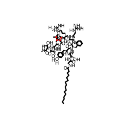 CCCCCCCCCCCCCCCC(=O)NCC(=O)N[C@@H](CO)C(=O)N[C@@H](Cc1ccc(O)cc1)C(=O)N[C@@H](Cc1ccccc1)C(=O)N[C@@H](CCCNC(=N)N)C(=O)N[C@@H](CCCNC(=N)N)C(=O)N[C@@H](CC(C)C)C(=O)N[C@@H](Cc1c[nH]cn1)C(=O)N[C@@H](CO)C(=O)N[C@H](C(=O)NC)[C@@H](C)O